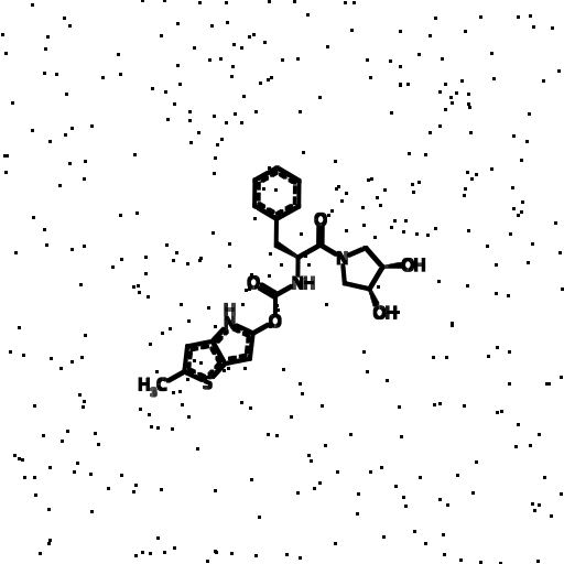 Cc1cc2[nH]c(OC(=O)N[C@@H](Cc3ccccc3)C(=O)N3C[C@@H](O)[C@@H](O)C3)cc2s1